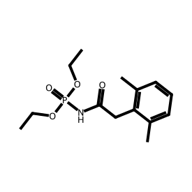 CCOP(=O)(NC(=O)Cc1c(C)cccc1C)OCC